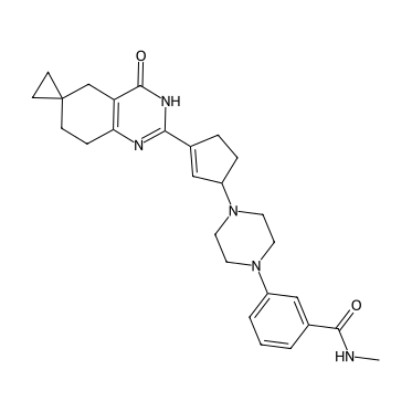 CNC(=O)c1cccc(N2CCN(C3C=C(c4nc5c(c(=O)[nH]4)CC4(CC5)CC4)CC3)CC2)c1